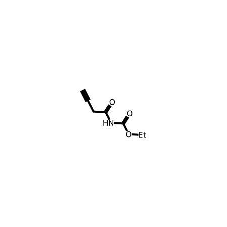 C#CCC(=O)NC(=O)OCC